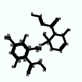 CC=CC(=O)C1C(C)C=CCC1(C)C.COC(=O)c1c(C)cc(O)c(C)c1O